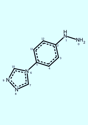 NNc1ccc(-n2cnnc2)cc1